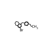 CCCc1ccc(Cc2cc(Br)cc3c2CCCC3)cc1